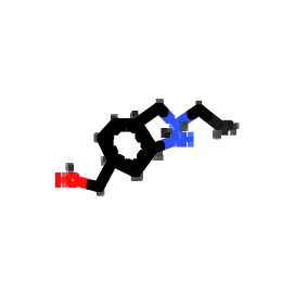 CC(C)CN1Cc2ccc(CO)cc2N1